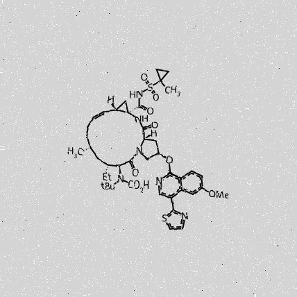 CC[C@@H]1C[C@H](C)CCC=C[C@@H]2C[C@@]2(C(=O)NS(=O)(=O)C2(C)CC2)NC(=O)[C@@H]2C[C@@H](Oc3ncc(-c4nccs4)c4cc(OC)ccc34)CN2C(=O)[C@H]1N(C(=O)O)C(C)(C)C